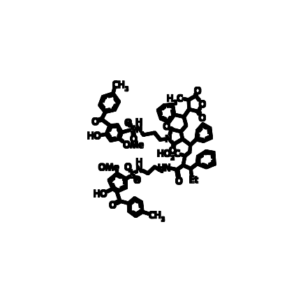 CCC(c1ccccc1)C(C(=O)NCCCNS(=O)(=O)c1cc(C(=O)c2ccc(C)cc2)c(O)cc1OC)C(CC(c1ccccc1)C1C(=O)N(CCCNS(=O)(=O)c2cc(C(=O)c3ccc(C)cc3)c(O)cc2OC)C(=O)C1CC(c1ccccc1)C1C(=O)OC(=O)C1C)C(=O)O